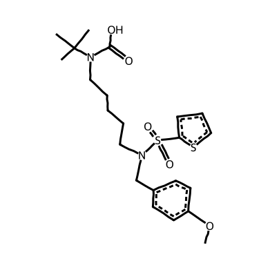 COc1ccc(CN(CCCCCN(C(=O)O)C(C)(C)C)S(=O)(=O)c2cccs2)cc1